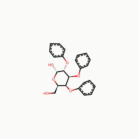 OC[C@H]1O[C@H](O)[C@H](Oc2ccccc2)[C@@H](Oc2ccccc2)[C@H]1Oc1ccccc1